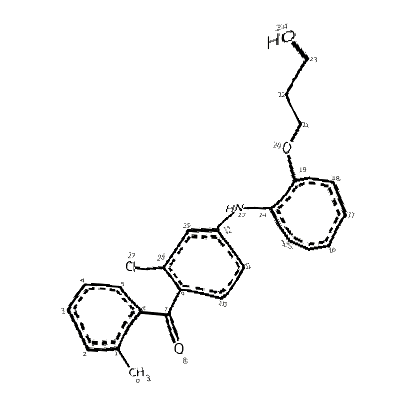 Cc1ccccc1C(=O)c1ccc(Nc2ccccc2OCCCO)cc1Cl